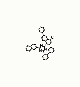 Clc1ccc(-c2nc(-c3ccc4ccccc4c3)nc(-c3ccccc3-c3ccccc3)n2)c2ccc(-c3ccccc3)cc12